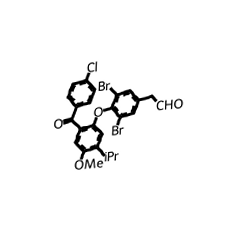 COc1cc(C(=O)c2ccc(Cl)cc2)c(Oc2c(Br)cc(CC=O)cc2Br)cc1C(C)C